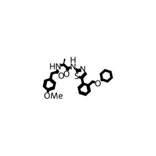 COc1ccc(CC(=O)N[C@@H](C)C(=O)Nc2ncc(-c3ccccc3COC3CCCCC3)s2)cc1